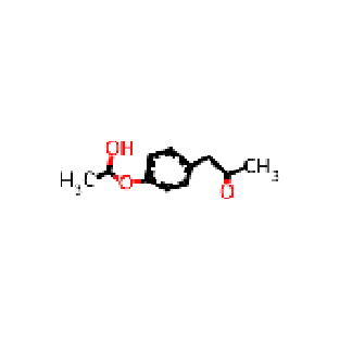 CC(=O)Cc1ccc(OC(C)O)cc1